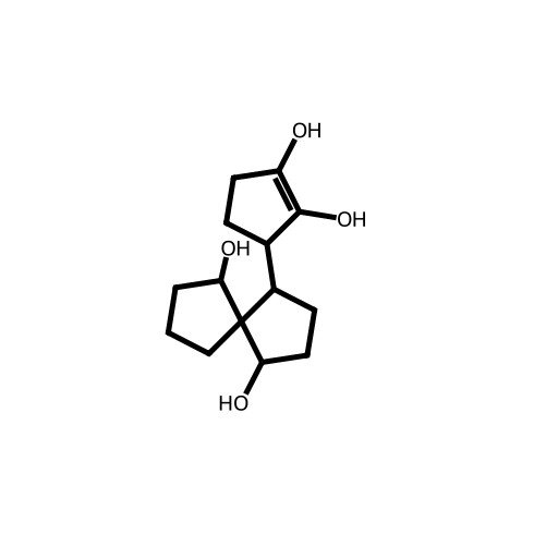 OC1=C(O)C(C2CCC(O)C23CCCC3O)CC1